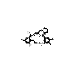 CCOC(=O)CCc1c(F)cc(F)cc1[C@@H](CC)OC[C@H](O)CN1CCC[C@H]1Cc1ccc(C)c(F)c1